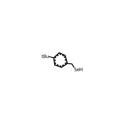 CC(C)(C)c1ccc(C[SeH])cc1